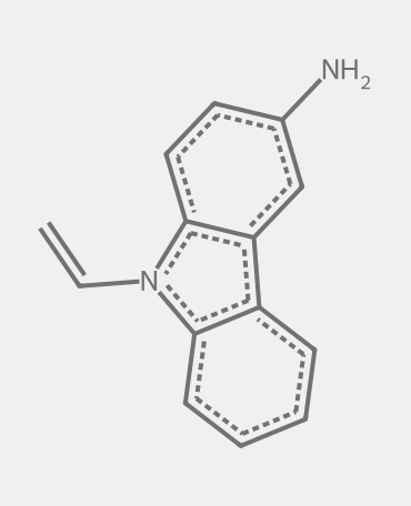 C=Cn1c2ccccc2c2cc(N)ccc21